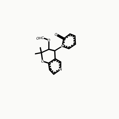 CC1(C)Oc2ccncc2C(n2ccccc2=O)C1OC=O